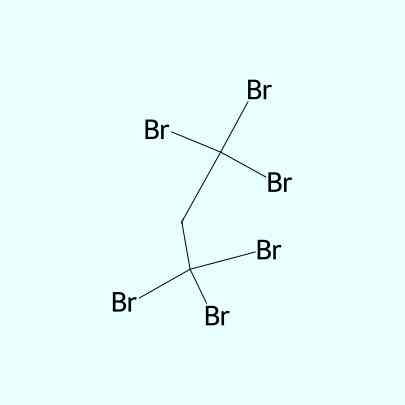 BrC(Br)(Br)CC(Br)(Br)Br